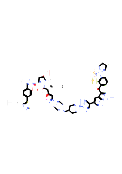 Cc1ncsc1-c1ccc([C@H](C)NC(=O)[C@@H]2C[C@@H](O)CN2C(=O)[C@@H](c2cc(N3CCN(CC4CCN(c5ncc(-c6cnc7[nH]cc(C(=O)c8c(F)ccc(N(N9CC[C@@H](F)C9)[SH](=O)=O)c8F)c7c6)cn5)CC4)CC3)no2)C(C)C)cc1